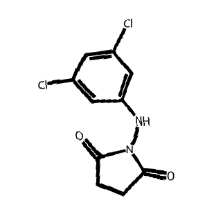 O=C1CCC(=O)N1Nc1cc(Cl)cc(Cl)c1